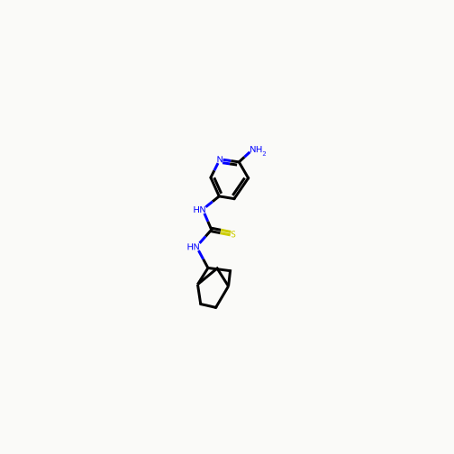 Nc1ccc(NC(=S)NC2CC3CCC2C3)cn1